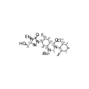 CCC(C)N1CN(c2c(F)cccc2Cl)C(=O)c2cc(F)c(-n3nc(CO)n(CC)c3=O)cc21